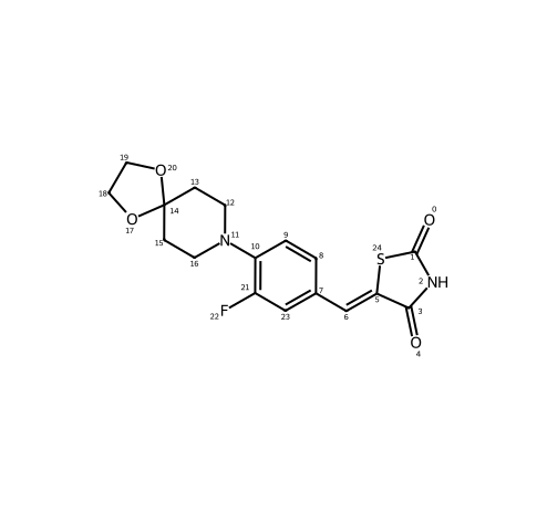 O=C1NC(=O)/C(=C/c2ccc(N3CCC4(CC3)OCCO4)c(F)c2)S1